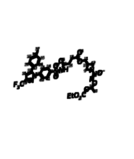 CCOC(=O)OC(C)ON=[N+]([O-])N1CC(COC(=O)CCC(=O)NS(=O)(=O)c2ccc(-n3nc(C(F)(F)F)cc3-c3ccc(C)cc3)cc2)C1